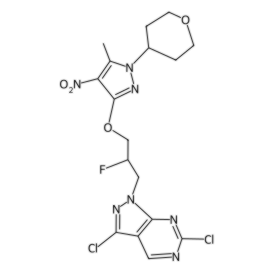 Cc1c([N+](=O)[O-])c(OCC(F)Cn2nc(Cl)c3cnc(Cl)nc32)nn1C1CCOCC1